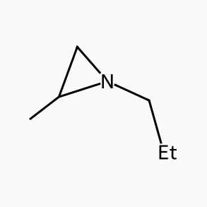 [CH2]CCN1CC1C